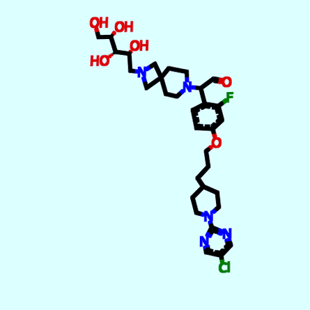 O=CC(c1ccc(OCCCC2CCN(c3ncc(Cl)cn3)CC2)cc1F)N1CCC2(CC1)CN(C[C@H](O)[C@H](O)[C@H](O)CO)C2